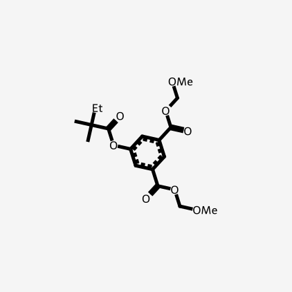 CCC(C)(C)C(=O)Oc1cc(C(=O)OCOC)cc(C(=O)OCOC)c1